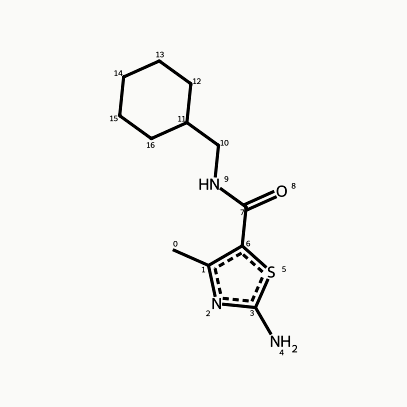 Cc1nc(N)sc1C(=O)NCC1CCCCC1